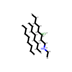 CCCCCCCC.CCCCCCCC.CCCCCCCCNCC.Cl